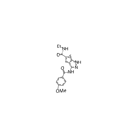 CCNC(=O)c1cc2c(NC(=O)c3ccc(OC)cc3)n[nH]c2s1